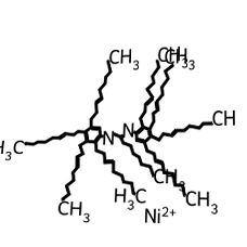 CCCCCC/C=C/CCc1cc(/N=C/C(CCCCCCCC)=N/c2cc(CC/C=C/CCCCCC)c(CC/C=C/CCCCCC)c(CC/C=C/CCCCCC)c2CC/C=C/CCCCCC)c(CC/C=C/CCCCCC)c(CC/C=C/CCCCCC)c1CC/C=C/CCCCCC.[Ni+2]